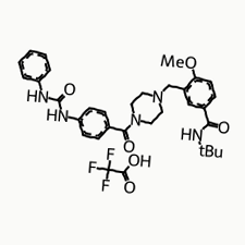 COc1ccc(C(=O)NC(C)(C)C)cc1CN1CCN(C(=O)c2ccc(NC(=O)Nc3ccccc3)cc2)CC1.O=C(O)C(F)(F)F